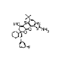 CC(C)(C)c1cc2nc(N)sc2cc1SC1=C(O)CC(CCc2cccc(F)c2)(C2CCCCC2)OC1=O